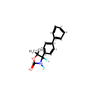 CC1(C)OC(=O)N(F)C1(F)c1ccc(-c2ccccc2)cc1